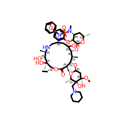 CC[C@H]1OC(=O)[C@H](C)[C@@H](O[C@H]2C[C@@](C)(OC)[C@](O)(CN3CCCCC3)[C@H](C)O2)[C@H](C)[C@@H](O[C@H]2O[C@@H](C)C[C@@H](N(C)S(=O)(=O)Nc3ccccc3)[C@@H]2Oc2ccc(OC)cc2)[C@](C)(O)C[C@@H](C)CN[C@H](C)[C@@H](O)[C@]1(C)O